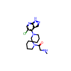 CNCC(=O)N1CCCCC12CCCN(c1c(Cl)cnc3[nH]ncc13)C2